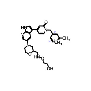 C=C(C)/C=C(\C=C/C)Cn1ccc(-c2c[nH]c3ncc(N4CCOC(CNOCCO)C4)cc23)cc1=O